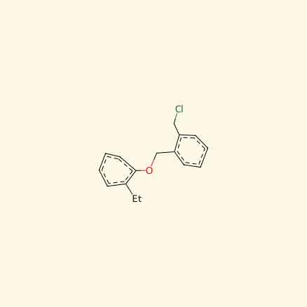 CCc1ccccc1OCc1ccccc1CCl